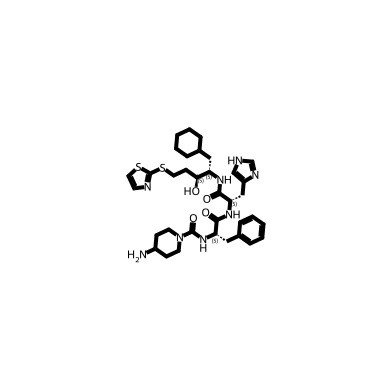 NC1CCN(C(=O)N[C@@H](Cc2ccccc2)C(=O)N[C@@H](Cc2c[nH]cn2)C(=O)N[C@@H](CC2CCCCC2)[C@@H](O)CCSc2nccs2)CC1